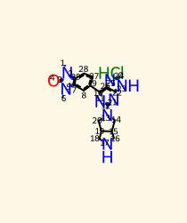 Cl.Cn1c(=O)n(C)c2cc(-c3nc(N4CC5CNCC5C4)nc4[nH]cnc34)ccc21